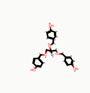 Oc1ccc(COC[C]([U])(COCc2ccc(O)cc2)OCc2ccc(O)cc2)cc1